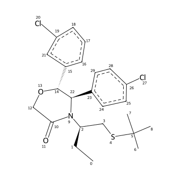 CC[C@H](CSC(C)(C)C)N1C(=O)CO[C@H](c2cccc(Cl)c2)[C@H]1c1ccc(Cl)cc1